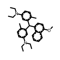 CCN(CC)c1ccc(C)c(C(c2cc(N(CC)CC)ccc2C)c2ccc(OC)c3ccccc23)c1